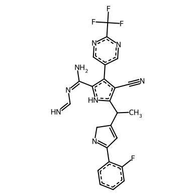 CC(C1=CC(c2ccccc2F)=NC1)c1[nH]c(/C(N)=N\C=N)c(-c2cnc(C(F)(F)F)nc2)c1C#N